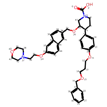 O=C(O)N1CCC(c2ccc(OCCCOCc3ccccc3)cc2)C(OCc2ccc3cc(OCCN4CCOCC4)ccc3c2)C1